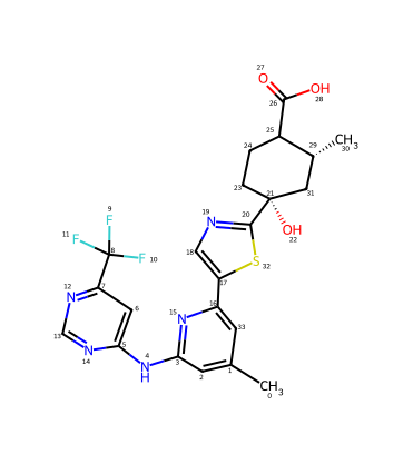 Cc1cc(Nc2cc(C(F)(F)F)ncn2)nc(-c2cnc([C@@]3(O)CCC(C(=O)O)[C@H](C)C3)s2)c1